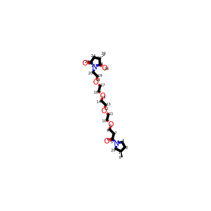 C[C@@H]1CCN(C(=O)CCOCCOCCOCCOCCN2C(=O)C[C@H](C)C2=O)C1